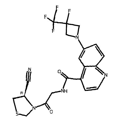 N#C[C@@H]1CSCN1C(=O)CNC(=O)c1ccnc2ccc(N3CC(F)(C(F)(F)F)C3)cc12